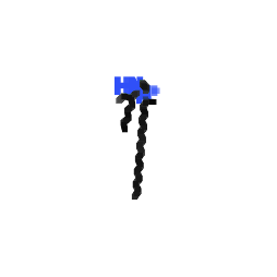 CCCCCCCCCCCCCCCC(C)[n+]1cc[nH]c1C(CC)CCCCC